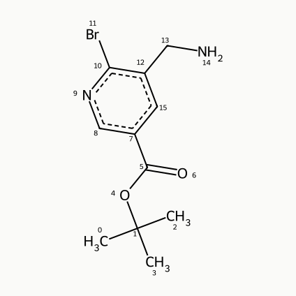 CC(C)(C)OC(=O)c1cnc(Br)c(CN)c1